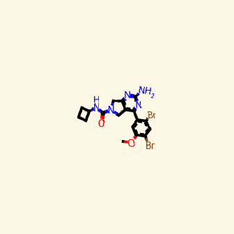 COc1cc(-c2nc(N)nc3c2CN(C(=O)NC2CCC2)C3)c(Br)cc1Br